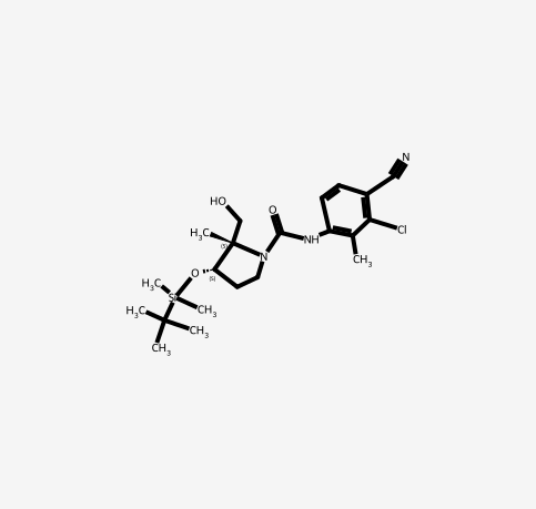 Cc1c(NC(=O)N2CC[C@H](O[Si](C)(C)C(C)(C)C)[C@]2(C)CO)ccc(C#N)c1Cl